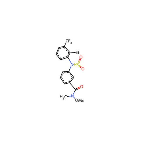 CCc1c(N(c2cccc(C(=O)N(C)OC)c2)[SH](=O)=O)cccc1C(F)(F)F